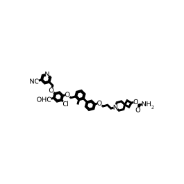 Cc1c(COc2cc(OCc3cncc(C#N)c3)c(C=O)cc2Cl)cccc1-c1cccc(OCCCN2CCC3(CC2)CC(OC(N)=O)C3)c1